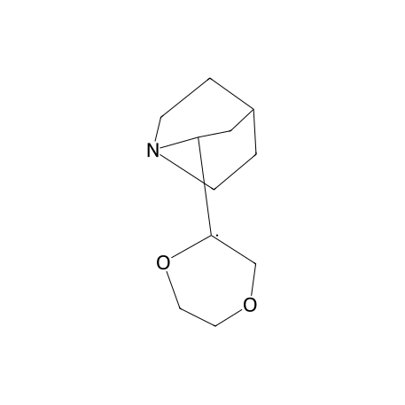 C1CO[C](C2CC3CCN2CC3)CO1